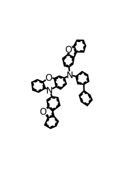 c1ccc(-c2cccc(N(c3ccc4c(c3)Oc3ccccc3N4c3ccc4c(c3)oc3ccccc34)c3ccc4oc5ccccc5c4c3)c2)cc1